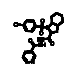 O=C(NNC(=O)C1CC2CCCCC2N1S(=O)(=O)c1ccc(Cl)cc1)c1cccnc1